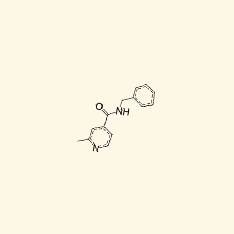 Cc1cc(C(=O)NCc2ccccc2)ccn1